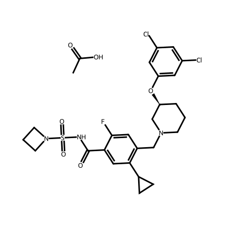 CC(=O)O.O=C(NS(=O)(=O)N1CCC1)c1cc(C2CC2)c(CN2CCC[C@H](Oc3cc(Cl)cc(Cl)c3)C2)cc1F